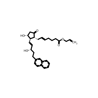 C=CCOC(=O)CCCC=CC[C@H]1C(=O)C[C@@H](O)[C@@H]1C=C[C@@H](O)CCc1ccc2ccccc2c1